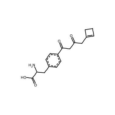 NC(Cc1ccc(C(=O)CC(=O)CC2=CCC2)cc1)C(=O)O